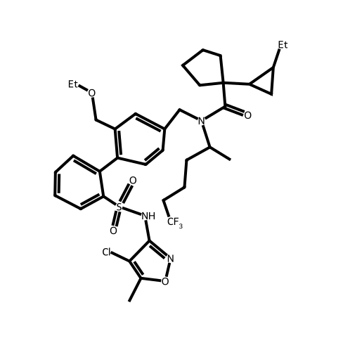 CCOCc1cc(CN(C(=O)C2(C3CC3CC)CCCC2)C(C)CCCC(F)(F)F)ccc1-c1ccccc1S(=O)(=O)Nc1noc(C)c1Cl